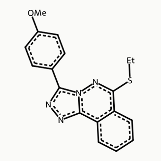 CCSc1nn2c(-c3ccc(OC)cc3)nnc2c2ccccc12